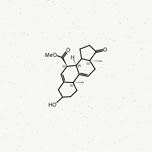 COC(=O)[C@@H]1C=C2CC(O)CC[C@]2(C)C2=CC[C@]3(C)C(=O)CCC3[C@@H]21